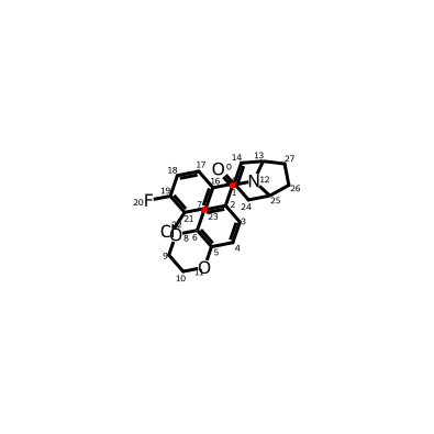 O=C(c1ccc2c(c1)OCCO2)N1C2C=C(c3ccc(F)c(Cl)c3)CC1CC2